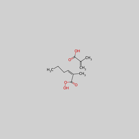 C=C(C)C(=O)O.CCCC=C(C)C(=O)OO